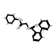 O=C(COC(=O)c1ccccc1-c1ccccc1)OC1CCCCC1